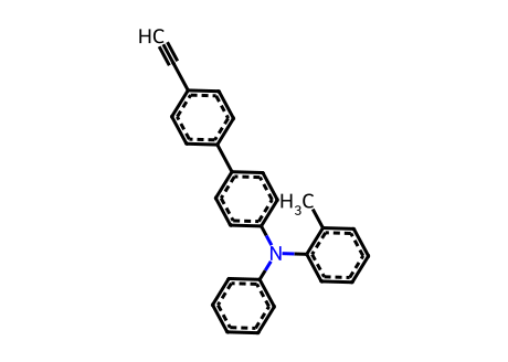 C#Cc1ccc(-c2ccc(N(c3ccccc3)c3ccccc3C)cc2)cc1